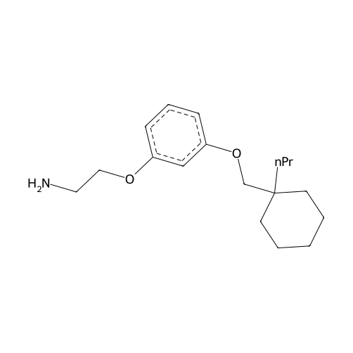 CCCC1(COc2cccc(OCCN)c2)CCCCC1